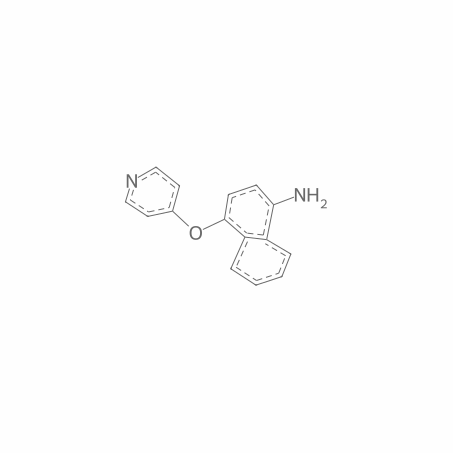 Nc1ccc(Oc2ccncc2)c2ccccc12